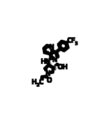 C=CC(=O)N1C[C@@H](CO)[C@H](Nc2ncc(-c3ccc(C(F)(F)F)cc3)c3ncccc23)C1